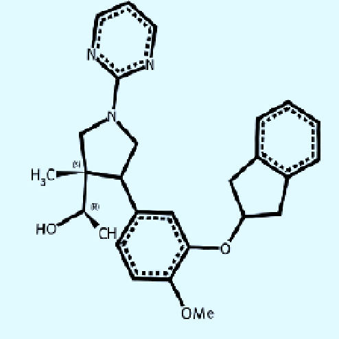 COc1ccc(C2CN(c3ncccn3)C[C@@]2(C)[C@@H](C)O)cc1OC1Cc2ccccc2C1